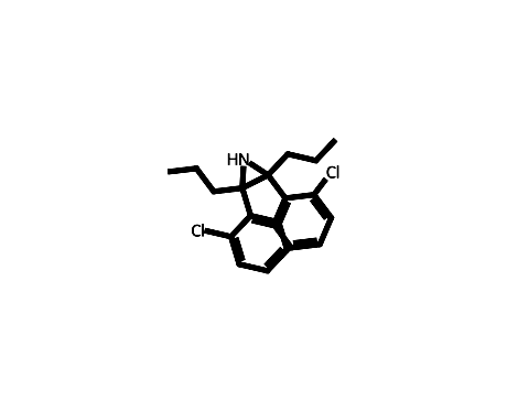 CCCC1(c2ccccc2Cl)NC1(CCC)c1ccccc1Cl